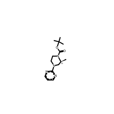 C[C@H]1CN(c2ncccn2)CCN1C(=O)OC(C)(C)C